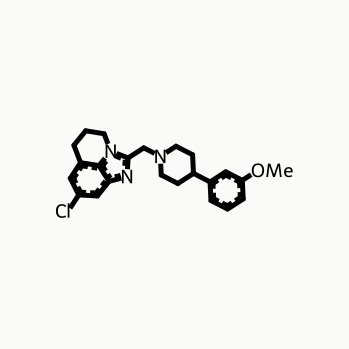 COc1cccc(C2CCN(Cc3nc4cc(Cl)cc5c4n3CCC5)CC2)c1